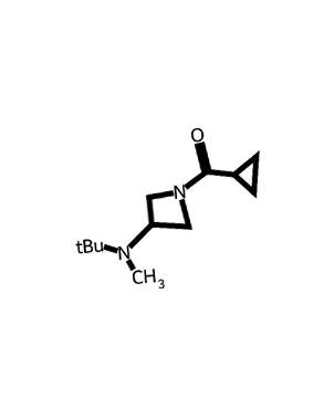 CN(C1CN(C(=O)C2CC2)C1)C(C)(C)C